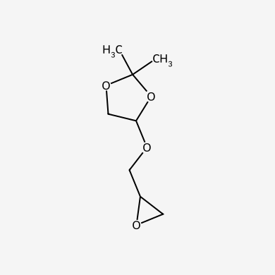 CC1(C)OCC(OCC2CO2)O1